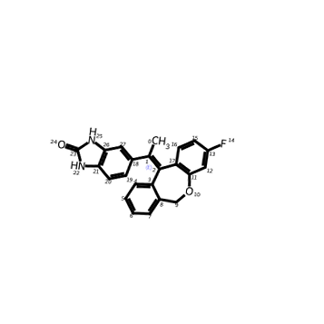 C/C(=C1/c2ccccc2COc2cc(F)ccc21)c1ccc2[nH]c(=O)[nH]c2c1